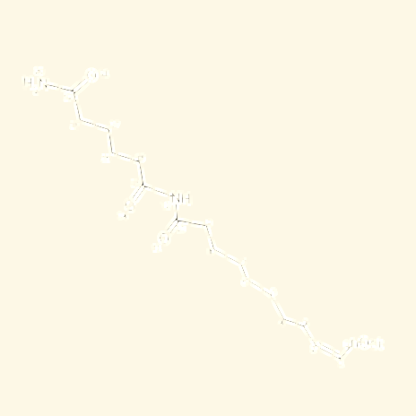 CCCCCCCC/C=C\CCCCCCCC(=O)NC(=O)CCCCC(N)=O